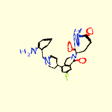 Nc1ccccc1CN1CCC(c2cc(F)cc3c2CN(C2CCC(=O)NC2=O)C3=O)CC1